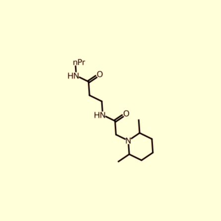 CCCNC(=O)CCNC(=O)CN1C(C)CCCC1C